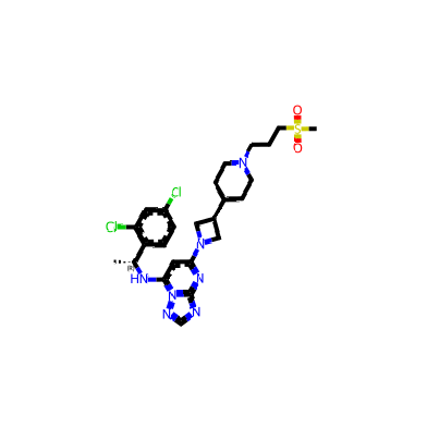 C[C@@H](Nc1cc(N2CC(C3CCN(CCCS(C)(=O)=O)CC3)C2)nc2ncnn12)c1ccc(Cl)cc1Cl